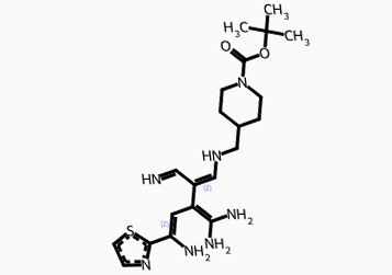 CC(C)(C)OC(=O)N1CCC(CN/C=C(\C=N)C(/C=C(\N)c2nccs2)=C(N)N)CC1